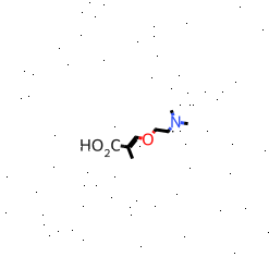 CC(=COC[CH]N(C)C)C(=O)O